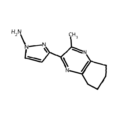 Cc1nc2c(nc1-c1ccn(N)n1)CCCC2